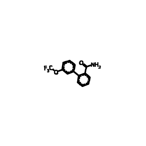 NC(=O)c1ccccc1-c1cccc(OC(F)(F)F)c1